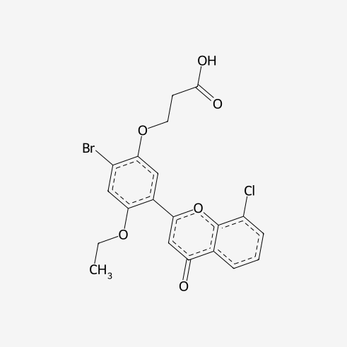 CCOc1cc(Br)c(OCCC(=O)O)cc1-c1cc(=O)c2cccc(Cl)c2o1